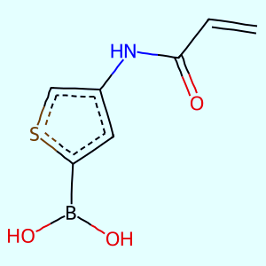 C=CC(=O)Nc1csc(B(O)O)c1